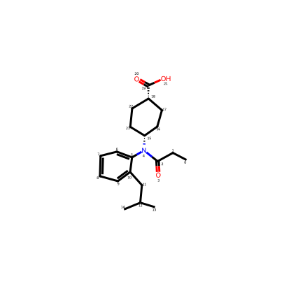 CCC(=O)N(c1ccccc1CC(C)C)[C@H]1CC[C@@H](C(=O)O)CC1